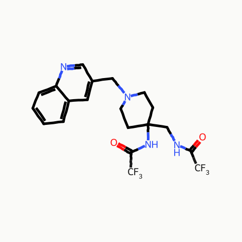 O=C(NCC1(NC(=O)C(F)(F)F)CCN(Cc2cnc3ccccc3c2)CC1)C(F)(F)F